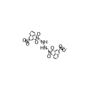 O=C1c2cccc3cc([N+](=O)[O-])cc(c23)C(=O)N1CCNCCNCCN1C(=O)c2cccc3cc([N+](=O)[O-])cc(c23)C1=O